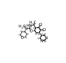 CC(NC(=O)N(C)C1CCOCC1)c1ccc(-c2cncnc2)c(Cl)c1Cl